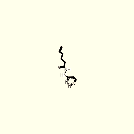 C=CCCCC(=S)NNc1ccnnn1